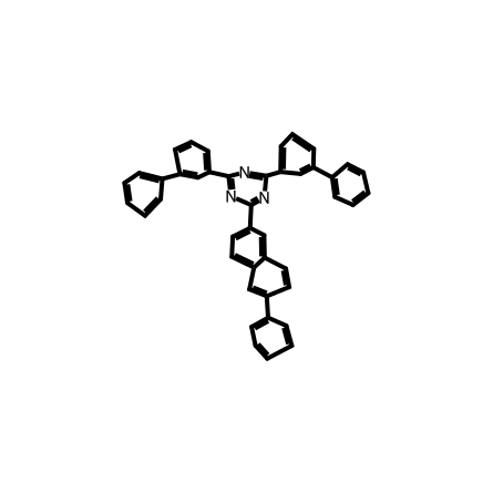 c1ccc(-c2cccc(-c3nc(-c4cccc(-c5ccccc5)c4)nc(-c4ccc5cc(-c6ccccc6)ccc5c4)n3)c2)cc1